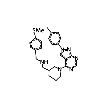 CSc1ccc(CNCC2CCCN(c3ncnc4nn(-c5ccc(C)cc5)cc34)C2)cc1